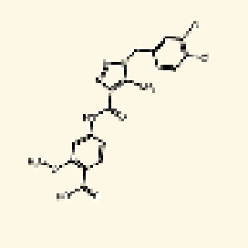 COc1cc(NC(=O)c2nnn(Cc3ccc(Cl)c(Cl)c3)c2C)ccc1C(=O)O